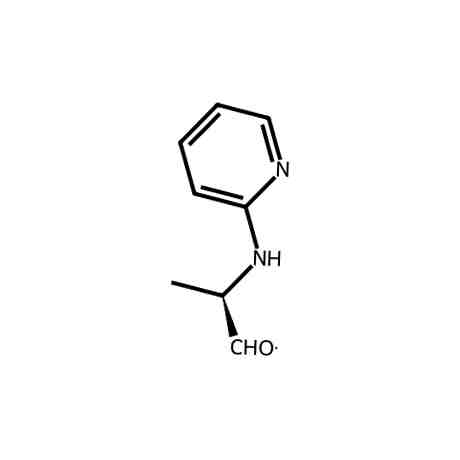 C[C@H]([C]=O)Nc1ccccn1